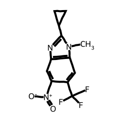 Cn1c(C2CC2)nc2cc([N+](=O)[O-])c(C(F)(F)F)cc21